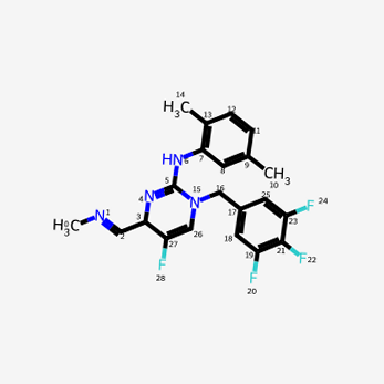 C/N=C/C1N=C(Nc2cc(C)ccc2C)N(Cc2cc(F)c(F)c(F)c2)C=C1F